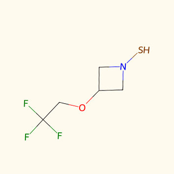 FC(F)(F)COC1CN(S)C1